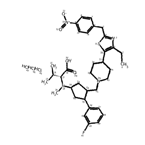 CCc1nc(Cc2ccc([N+](=O)[O-])cc2)sc1C1CCN(CC2CC(N(C)[C@@H](C(=O)O)C(C)C)CC2c2cccc(F)c2)CC1.Cl.Cl.Cl